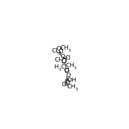 CCS(=O)(=O)C[C@H](O)COc1ccc(C(C)(C)c2cc(Cl)c(OC[C@@H](CCl)OC(C)=O)c(Cl)c2)cc1